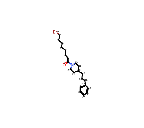 O=C(CCCCCCCBr)N1CCC(CCCc2ccccc2)CC1